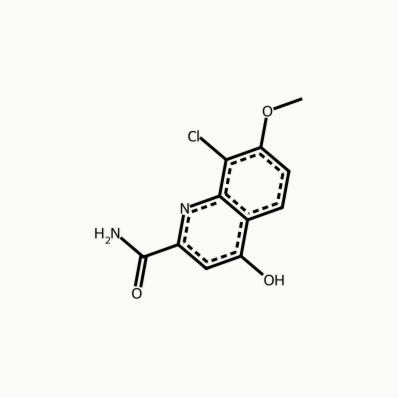 COc1ccc2c(O)cc(C(N)=O)nc2c1Cl